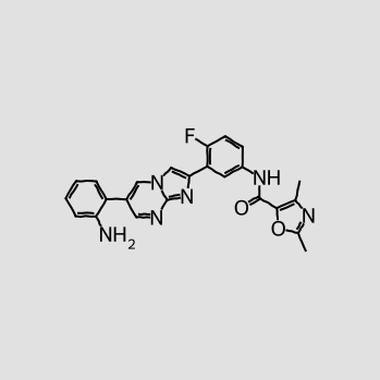 Cc1nc(C)c(C(=O)Nc2ccc(F)c(-c3cn4cc(-c5ccccc5N)cnc4n3)c2)o1